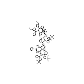 CCOC(=O)C(OC[C@H]1O[C@@H](n2cnc3c(N(C(=O)OC(C)(C)C)C(=O)OC(C)(C)C)nc(Cl)nc32)[C@H](O[Si](C)(C)C(C)(C)C)[C@@H]1N=[N+]=[N-])C(=O)OCC